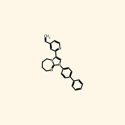 C=Cc1ccnc(C2=CN(c3ccc(-c4ccccc4)cc3)C3=NCCCCN23)c1